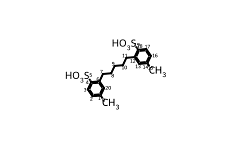 Cc1ccc(S(=O)(=O)O)c(CCCCCc2cc(C)ccc2S(=O)(=O)O)c1